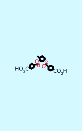 Cc1ccc(OC(=O)c2ccc(C(=O)O)cc2)cc1OC(=O)c1ccc(C(=O)O)cc1